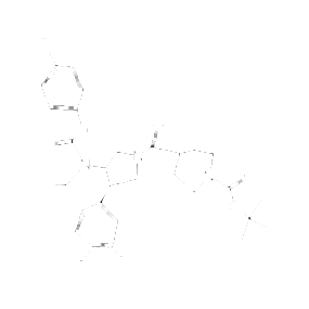 CCN(C(=O)Oc1ccc(F)cc1)C1CN(C(=O)C2CCN(C(=O)OC(C)(C)C)CC2)C[C@H]1c1ccc(Cl)c(F)c1